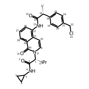 CC(C)[C@H](C(=O)NC1CC1)n1ccc2c(NC(=O)[C@H](C)c3ccc(CCl)cc3)cccc2c1=O